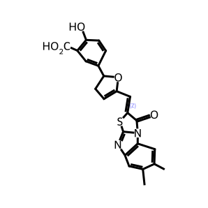 Cc1cc2nc3s/c(=C\C4=CCC(c5ccc(O)c(C(=O)O)c5)O4)c(=O)n3c2cc1C